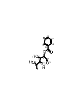 CC(O)C(O)C(O)C(C=O)OC(=O)c1ccccc1